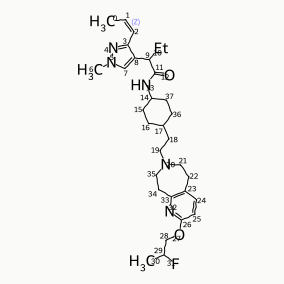 C/C=C\c1nn(C)cc1C(CC)C(=O)NC1CCC(CCN2CCc3ccc(OCC(C)F)nc3CC2)CC1